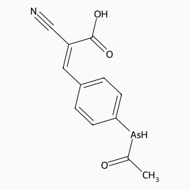 CC(=O)[AsH]c1ccc(/C=C(/C#N)C(=O)O)cc1